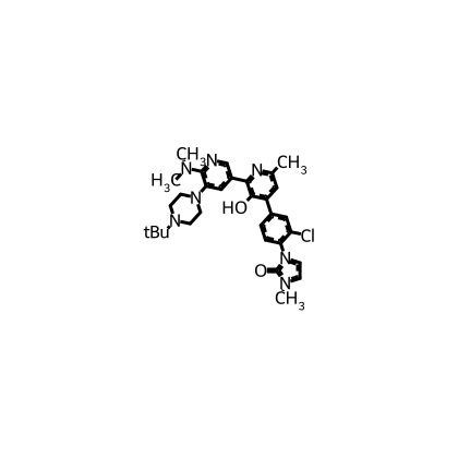 Cc1cc(-c2ccc(-n3ccn(C)c3=O)c(Cl)c2)c(O)c(-c2cnc(N(C)C)c(N3CCN(C(C)(C)C)CC3)c2)n1